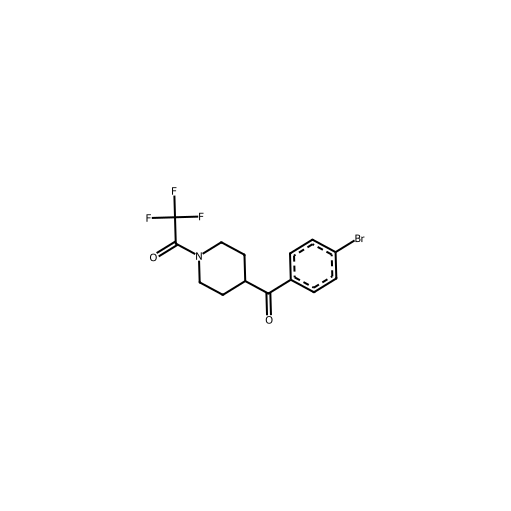 O=C(c1ccc(Br)cc1)C1CCN(C(=O)C(F)(F)F)CC1